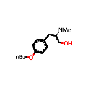 CCCCOc1ccc(C[C@@H](CO)NC)cc1